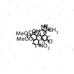 COC(OC)[C@@]1(C)Oc2ccc([N+](=O)[O-])cc2[C@@H](N(Cc2nnn(C)n2)c2ccc(Cl)cc2)[C@@H]1O